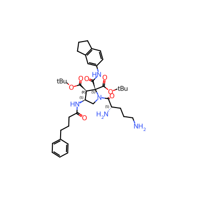 CC(C)(C)OC(=O)[C@@H]1[C@H](NC(=O)CCCc2ccccc2)CN(C(=O)[C@@H](N)CCCN)[C@@]1(C(=O)Nc1ccc2c(c1)CCC2)C(=O)OC(C)(C)C